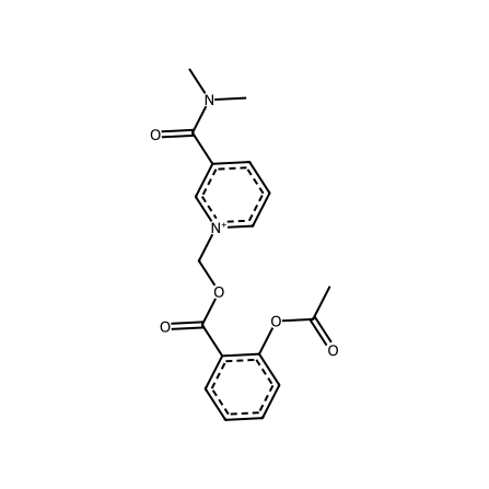 CC(=O)Oc1ccccc1C(=O)OC[n+]1cccc(C(=O)N(C)C)c1